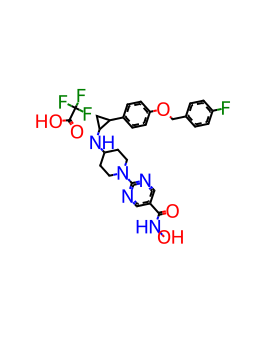 O=C(NO)c1cnc(N2CCC(NC3CC3c3ccc(OCc4ccc(F)cc4)cc3)CC2)nc1.O=C(O)C(F)(F)F